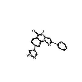 Cn1c(=O)c2ccc(-c3cn[nH]c3)cc2n2nc(-c3ccccc3)cc12